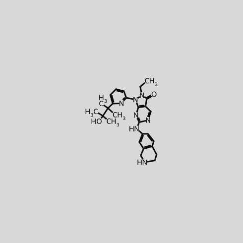 CCn1c(=O)c2cnc(Nc3ccc4c(c3)CNCC4)nc2n1-c1cccc(C(C)(C)C(C)(C)O)n1